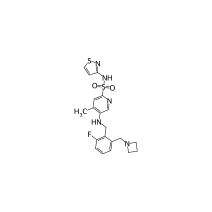 Cc1cc(S(=O)(=O)Nc2ccsn2)ncc1NCc1c(F)cccc1CN1CCC1